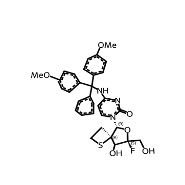 COc1ccc(C(Nc2ccn([C@@H]3O[C@](F)(CO)C(O)[C@]34CCS4)c(=O)n2)(c2ccccc2)c2ccc(OC)cc2)cc1